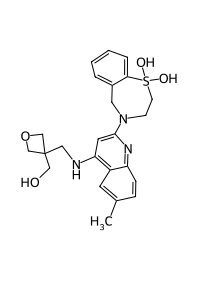 Cc1ccc2nc(N3CCS(O)(O)c4ccccc4C3)cc(NCC3(CO)COC3)c2c1